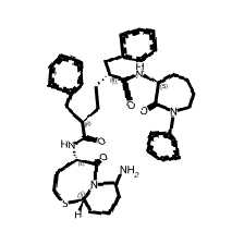 NC1CCC[C@@H]2SCC[C@H](NC(=O)[C@H](CC[C@H](Cc3ccccc3)C(=O)N[C@H]3CCCCN(c4ccccc4)C3=O)Cc3ccccc3)C(=O)N12